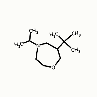 CC(C)N1CCOCC(C(C)(C)C)C1